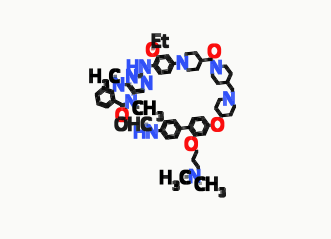 CCOc1cc(N2CCC(C(=O)N3CCC(CN4CCC(Oc5ccc(-c6ccc(NC=O)cc6)c(OCCCN(C)C)c5)CC4)CC3)CC2)ccc1Nc1ncc2c(n1)N(C)c1ccccc1C(=O)N2C